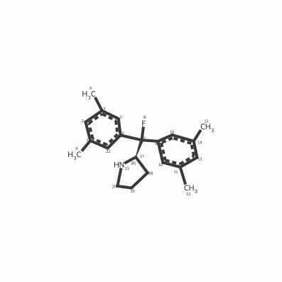 Cc1cc(C)cc(C(F)(c2cc(C)cc(C)c2)[C@H]2CCCN2)c1